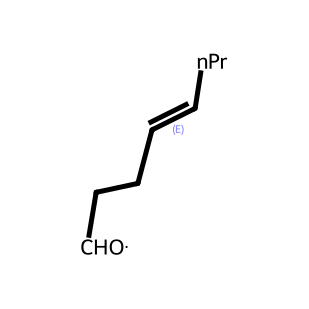 CCC/C=C/CC[C]=O